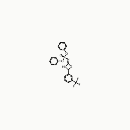 O=P(/N=C1\NC(c2cccc(C(F)(F)F)c2)S1)(Oc1ccccc1)Oc1ccccc1